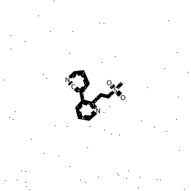 [CH2]S(=O)(=O)CCc1ncccc1-c1cccnc1